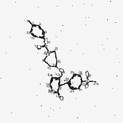 Cc1ccc(OC(=O)N2CCC(Oc3cc[nH]c(=O)c3-c3ccc(S(C)(=O)=O)cc3)CC2)cc1